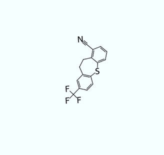 N#Cc1cccc2c1CCc1cc(C(F)(F)F)ccc1S2